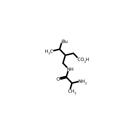 CCC(C)C(C)C(CNC(=O)C(C)N)CC(=O)O